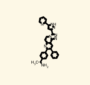 C[C@@H](N)c1ccc(-c2nc3ccn4c(-c5cc(-c6ccccn6)[nH]n5)nnc4c3cc2-c2ccccc2)cc1